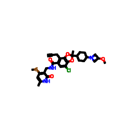 C#CCc1c(C(=O)NCc2c(SC)cc(C)[nH]c2=O)cc(Cl)c2c1OC(C)(C1CCC(N3CC(OC)C3)CC1)O2